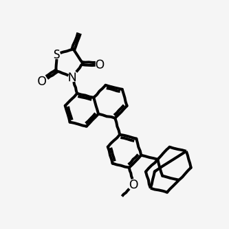 C=C1SC(=O)N(c2cccc3c(-c4ccc(OC)c(C56CC7CC(CC(C7)C5)C6)c4)cccc23)C1=O